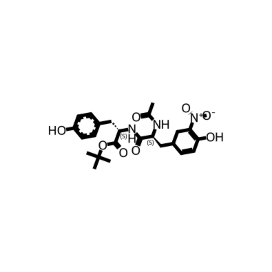 CC(=O)N[C@@H](CC1C=CC(O)=C([N+](=O)[O-])C1)C(=O)N[C@@H](Cc1ccc(O)cc1)C(=O)OC(C)(C)C